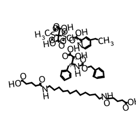 CCc1ccnc(C(=O)O)c1.CS(=O)(=O)C(C(=O)O)(C(=O)O)S(C)(=O)=O.O=C(N[C@H](Cc1ccccc1)[C@@H](O)C(=O)O)OCc1ccccc1.O=C(O)CCCC(=O)NCCCCCCCCCCCCNC(=O)CCCC(=O)O